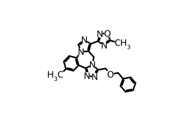 Cc1ccc2c(c1)-c1nnc(COCc3ccccc3)n1Cc1c(-c3noc(C)n3)ncn1-2